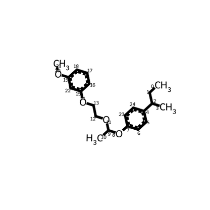 CCC(C)c1ccc(OC(C)OCCOc2cccc(OC)c2)cc1